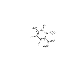 CNC(=O)c1c(F)c(F)c(O)c(F)c1C(=O)O